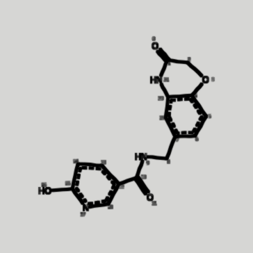 O=C1COc2ccc(CNC(=O)c3ccc(O)nc3)cc2N1